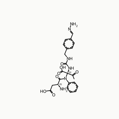 CC(=O)[C@@](NC(=O)NCc1ccc(C=NN)cc1)(C(=O)O)N(C(=O)[C@@H](N)CC(=O)O)c1ccccc1